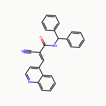 N#C/C(=C\c1ccnc2ccccc12)C(=O)NC(c1ccccc1)c1ccccc1